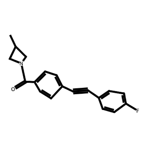 CC1CN(C(=O)c2ccc(C#Cc3ccc(F)cc3)cc2)C1